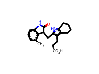 Cc1cccc2c1C(Cc1[nH]c3c(c1CCC(=O)O)CCCC3)C(=O)N2